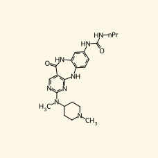 CCCNC(=O)Nc1ccc2c(c1)NC(=O)c1cnc(N(C)C3CCN(C)CC3)nc1N2